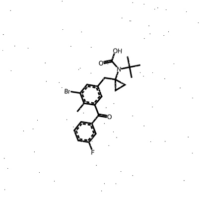 Cc1c(Br)cc(CC2(N(C(=O)O)C(C)(C)C)CC2)cc1C(=O)c1cccc(F)c1